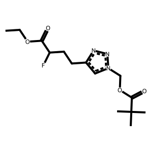 CCOC(=O)C(F)CCc1cn(COC(=O)C(C)(C)C)nn1